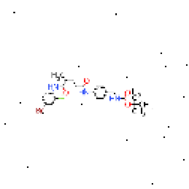 C=C(CCC(=O)Nc1ccc(CNC(=O)OC(C)(C)C)cc1)C(=O)Nc1ccc(Br)cc1F